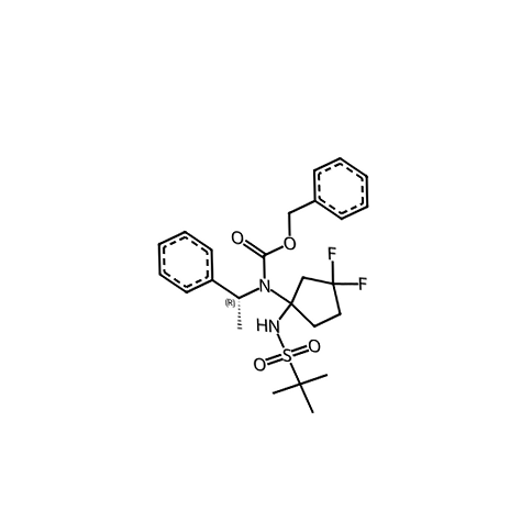 C[C@H](c1ccccc1)N(C(=O)OCc1ccccc1)C1(NS(=O)(=O)C(C)(C)C)CCC(F)(F)C1